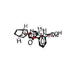 COc1cccc(C(=O)N[C@H]2C[C@H]3CC[C@@H](C2)N3c2ccc(C(=O)NCCO)cn2)c1C